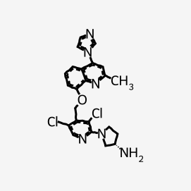 Cc1cc(-n2ccnc2)c2cccc(OCc3c(Cl)cnc(N4CC[C@H](N)C4)c3Cl)c2n1